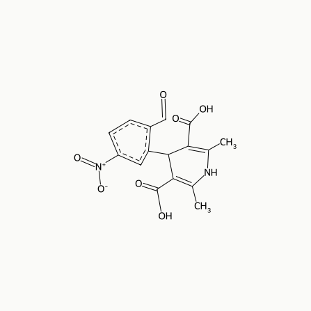 CC1=C(C(=O)O)C(c2cc([N+](=O)[O-])ccc2C=O)C(C(=O)O)=C(C)N1